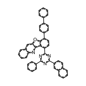 c1ccc(-c2ccc(-c3ccc(-c4nc(-c5ccccc5)nc(-c5ccc6ccccc6c5)n4)c4c3oc3cc5ccccc5nc34)cc2)cc1